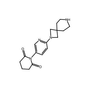 O=C1CCCC(=O)N1c1ccc(N2CC3(CCNCC3)C2)nc1